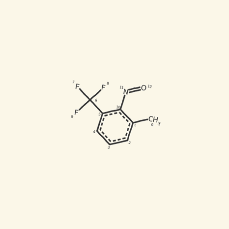 Cc1cccc(C(F)(F)F)c1N=O